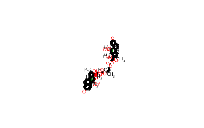 C[C@@H]1C[C@H]2[C@@H]3CCC4=CC(=O)C=C[C@]4(C)[C@@]3(F)[C@@H](O)C[C@]2(C)[C@@]1(O)C(=O)COC(=O)OCCC(C)(C)OC(=O)OCC(=O)[C@@]1(O)[C@H](C)C[C@H]2[C@@H]3CCC4=CC(=O)C=C[C@]4(C)[C@@]3(F)[C@@H](O)C[C@@]21C